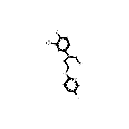 [C-]#[N+]c1ccc(N(CCOc2ccc(F)cn2)CC(C)(C)C)cc1C(F)(F)F